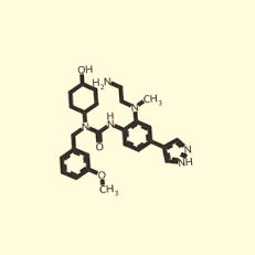 COc1cccc(CN(C(=O)Nc2ccc(-c3cn[nH]c3)cc2N(C)CCN)C2CCC(O)CC2)c1